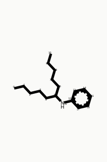 CCCCCC(CCCCC)Nc1ccccc1